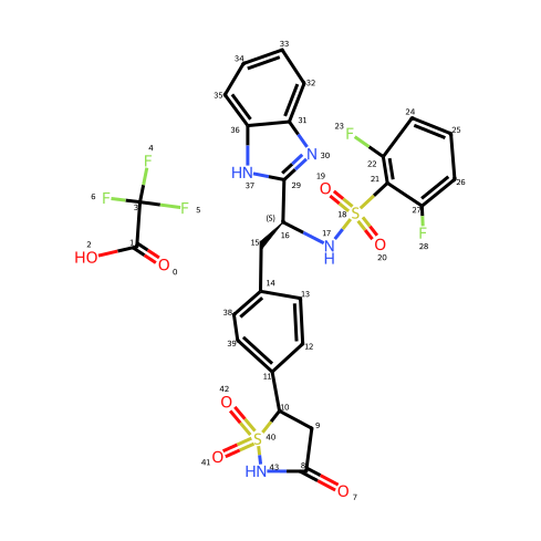 O=C(O)C(F)(F)F.O=C1CC(c2ccc(C[C@H](NS(=O)(=O)c3c(F)cccc3F)c3nc4ccccc4[nH]3)cc2)S(=O)(=O)N1